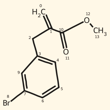 C=C(Cc1cccc(Br)c1)C(=O)OC